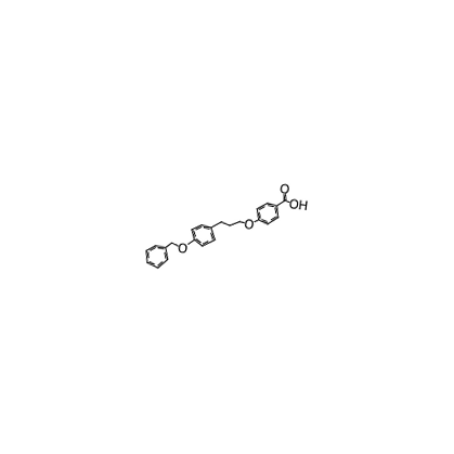 O=C(O)c1ccc(OCCCc2ccc(OCc3ccccc3)cc2)cc1